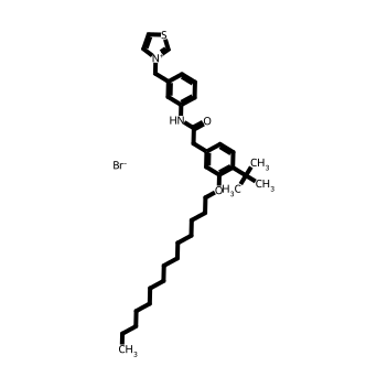 CCCCCCCCCCCCCCOc1cc(CC(=O)Nc2cccc(C[n+]3ccsc3)c2)ccc1C(C)(C)C.[Br-]